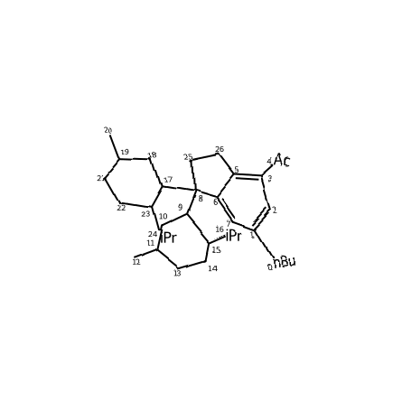 CCCCc1cc(C(C)=O)c2c(c1)C(C1CC(C)CCC1C(C)C)(C1CC(C)CCC1C(C)C)CC2